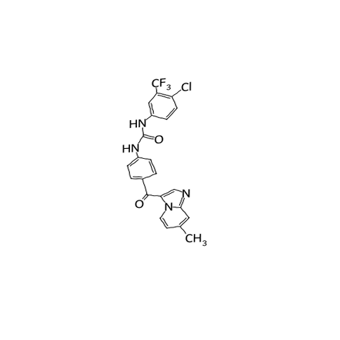 Cc1ccn2c(C(=O)c3ccc(NC(=O)Nc4ccc(Cl)c(C(F)(F)F)c4)cc3)cnc2c1